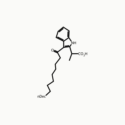 CCCCCCCCCCCCCCCCCC(=O)c1c(C(C)C(=O)O)[nH]c2ccccc12